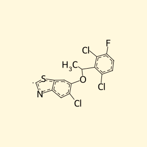 CC(Oc1cc2s[c]nc2cc1Cl)c1c(Cl)ccc(F)c1Cl